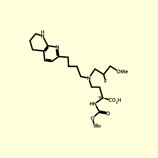 COCC(F)CN(CCCCc1ccc2c(n1)NCCC2)CC[C@H](NC(=O)OC(C)(C)C)C(=O)O